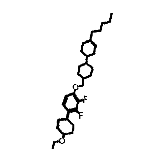 CCCCCC1CCC(C2CCC(COc3ccc(C4CCC(OCC)CC4)c(F)c3F)CC2)CC1